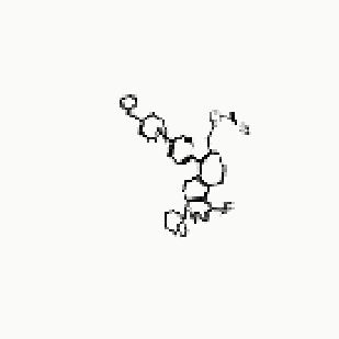 CCCC1=C(c2ccc(N3CCC(C=O)CC3)cc2)c2ccc3c(c(F)nn3C3CCCCO3)c2CCC1